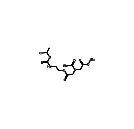 CC(Cl)OC(=O)NCCOC(=O)CN(CC(=O)OC(C)(C)C)C(=O)C(C)(C)C